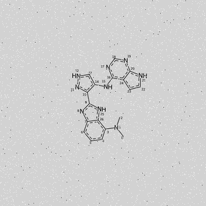 CN(C)c1cccc2nc(-c3n[nH]cc3Nc3ncnc4[nH]ccc34)[nH]c12